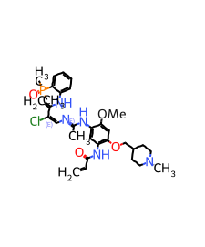 C=CC(=O)Nc1cc(N/C(C)=N/C=C(/Cl)C(=C)Nc2ccccc2P(C)(C)=O)c(OC)cc1OCC1CCN(C)CC1